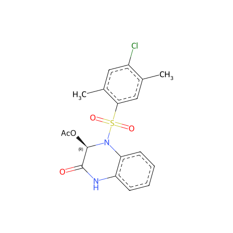 CC(=O)O[C@@H]1C(=O)Nc2ccccc2N1S(=O)(=O)c1cc(C)c(Cl)cc1C